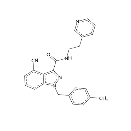 Cc1ccc(Cn2nc(C(=O)NCCc3cccnc3)c3c(C#N)cccc32)cc1